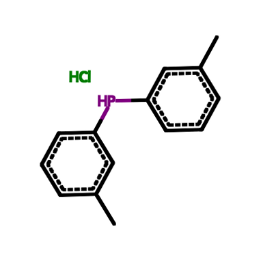 Cc1cccc(Pc2cccc(C)c2)c1.Cl